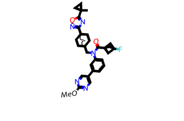 COc1ncc(-c2cccc(N(CC34CCC(c5noc(C6(C)CC6)n5)(CC3)CC4)C(=O)C34CC(F)(C3)C4)c2)cn1